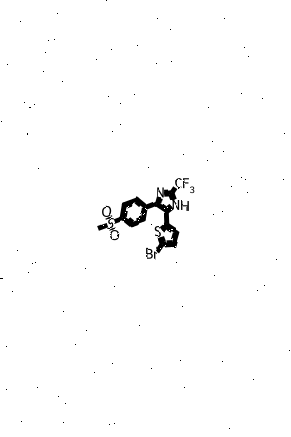 CS(=O)(=O)c1ccc(-c2nc(C(F)(F)F)[nH]c2-c2ccc(Br)s2)cc1